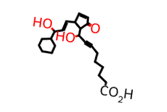 O=C(O)CCCCCC#CC(O)C1C(=O)C=CC1/C=C/C(O)C1CCCCC1